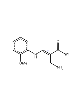 COc1ccccc1N/C=C(\CN)C(=O)C(C)C